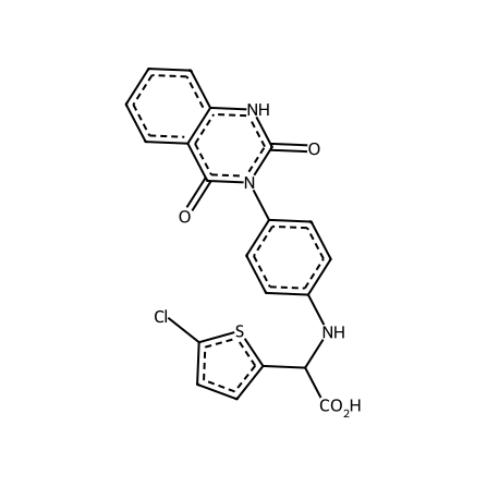 O=C(O)C(Nc1ccc(-n2c(=O)[nH]c3ccccc3c2=O)cc1)c1ccc(Cl)s1